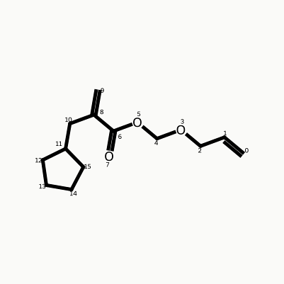 C=CCOCOC(=O)C(=C)CC1CCCC1